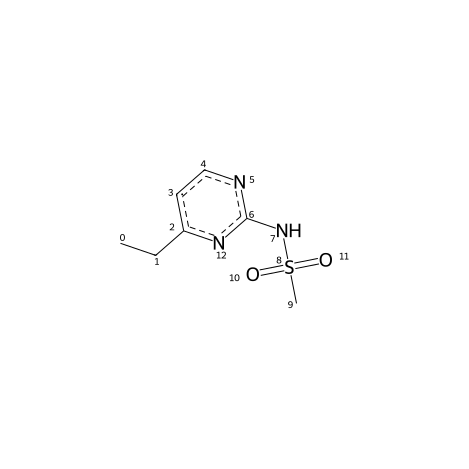 CCc1[c]cnc(NS(C)(=O)=O)n1